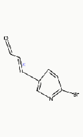 O=C/C=C/c1ccc(Br)nc1